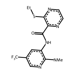 CCSc1nccnc1C(=O)Nc1cc(C(F)(F)F)cnc1NC